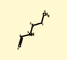 CCSN[C]=O